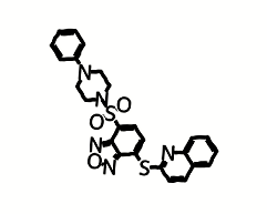 O=S(=O)(c1ccc(Sc2ccc3ccccc3n2)c2nonc12)N1CCN(c2ccccc2)CC1